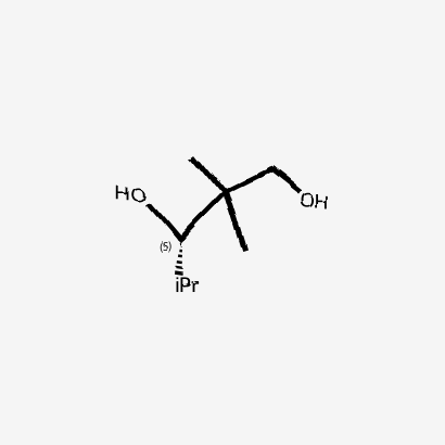 CC(C)[C@H](O)C(C)(C)CO